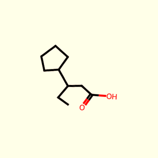 CCC(CC(=O)O)C1CCCC1